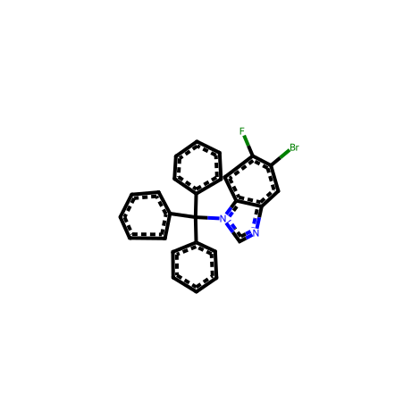 Fc1cc2c(cc1Br)ncn2C(c1ccccc1)(c1ccccc1)c1ccccc1